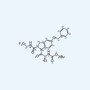 CC[C@H](NC(=O)OC(C)(C)C)C(=O)N1c2ccc(OCc3ccccc3)cc2C[C@@H]1C(=O)NCC(F)(F)F